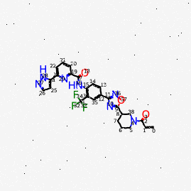 C=CC(=O)N1CCCC(c2nc(-c3ccc(NC(=O)c4cccc(-c5ccn[nH]5)n4)c(C(F)(F)F)c3)no2)C1